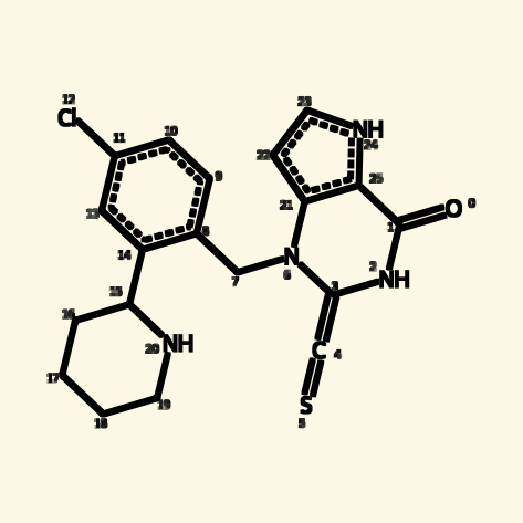 O=C1NC(=C=S)N(Cc2ccc(Cl)cc2C2CCCCN2)c2cc[nH]c21